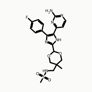 CC1(CNS(C)(=O)=O)COC(c2nc(-c3ccc(F)cc3)c(-c3ccnc(N)n3)[nH]2)OC1